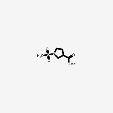 COC(=O)C1CCN(S(C)(=O)=O)C1